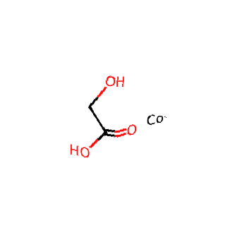 O=C(O)CO.[Co]